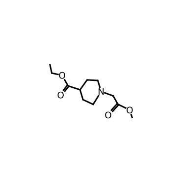 CCOC(=O)C1CCN(CC(=O)OC)CC1